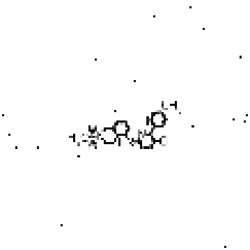 Cc1ccc(-c2nc(Nc3cccc4c3CCN(S(C)(=O)=O)C4)ccc2Cl)nc1